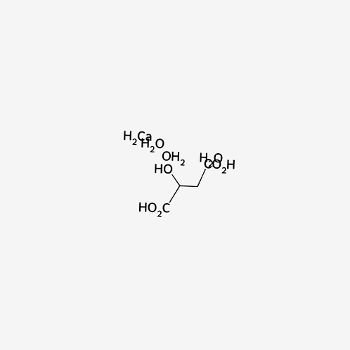 O.O.O.O=C(O)CC(O)C(=O)O.[CaH2]